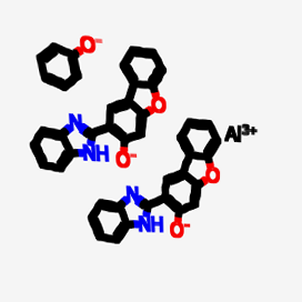 [Al+3].[O-]c1cc2oc3ccccc3c2cc1-c1nc2ccccc2[nH]1.[O-]c1cc2oc3ccccc3c2cc1-c1nc2ccccc2[nH]1.[O-]c1ccccc1